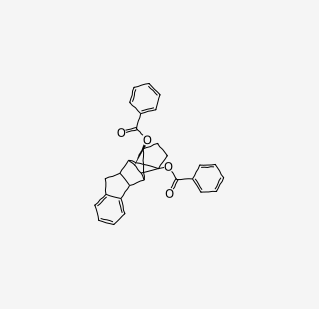 O=C(OC1C2C3c4ccccc4CC3C([C@H]1OC(=O)c1ccccc1)C21CCCC1)c1ccccc1